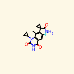 Cc1c(C2(C(N)=O)CC2)c(F)cc2c(=O)[nH]c(=O)n(C3CC3)c12